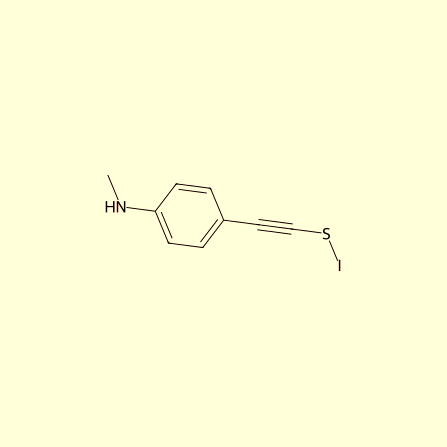 CNc1ccc(C#CSI)cc1